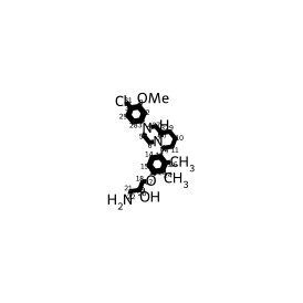 COc1cc(N2CCN3[C@@H](CCC[C@@H]3c3ccc(OC[C@H](O)CN)c(C)c3C)C2)ccc1Cl